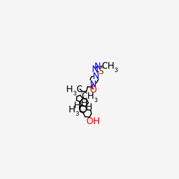 Cc1nnc(N2CCN(C(=O)CCC(C)[C@H]3CC[C@H]4[C@@H]5CC=C6C[C@@H](O)CC[C@]6(C)[C@H]5CC[C@]34C)CC2)s1